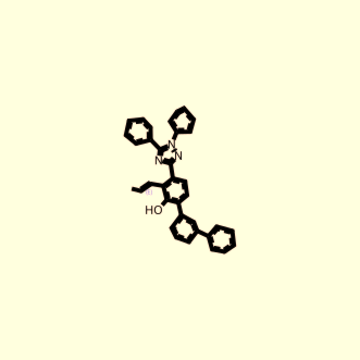 C/C=C/c1c(-c2nc(-c3ccccc3)n(-c3ccccc3)n2)ccc(-c2cccc(-c3ccccc3)c2)c1O